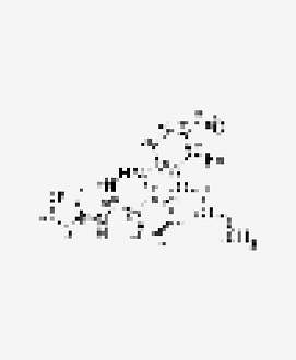 CCOCOc1c(-c2nnc(NC3CCOC3)c3ccccc23)ccc(C=O)c1F